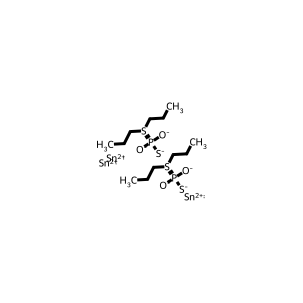 CCCS(CCC)=P([O-])([O-])[S-].CCCS(CCC)=P([O-])([O-])[S-].[Sn+2].[Sn+2].[Sn+2]